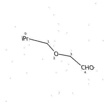 CC(C)COC[C]=O